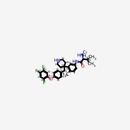 CN[C@H](C(=O)Nc1ccc(C)c(C2(Cc3ccc(Oc4cc(F)c(F)cc4F)cc3)CCNCC2)c1)C(C)C